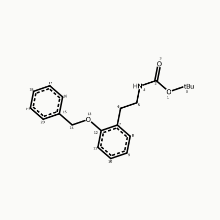 CC(C)(C)OC(=O)NCCc1ccccc1OCc1ccccc1